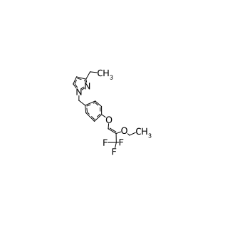 CCO/C(=C\Oc1ccc(Cn2ccc(CC)n2)cc1)C(F)(F)F